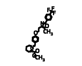 COC(=O)[C@H]1CCCCN1Cc1ccc(OCCc2nc(-c3ccc(C(F)(F)F)cc3)oc2C)cc1